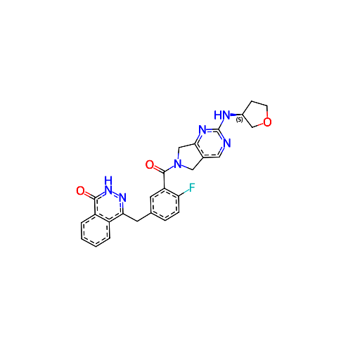 O=C(c1cc(Cc2n[nH]c(=O)c3ccccc23)ccc1F)N1Cc2cnc(N[C@H]3CCOC3)nc2C1